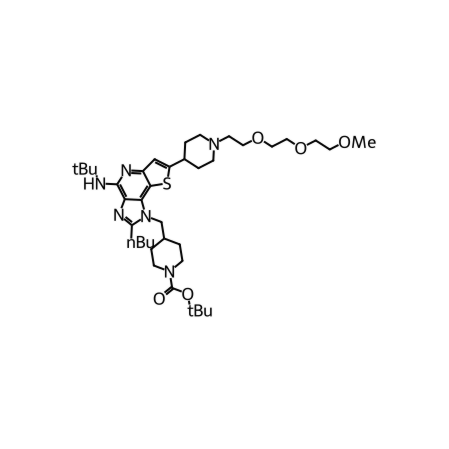 CCCCc1nc2c(NC(C)(C)C)nc3cc(C4CCN(CCOCCOCCOC)CC4)sc3c2n1CC1CCN(C(=O)OC(C)(C)C)CC1